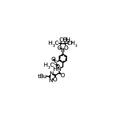 CC(C)(C)c1noc(C(=O)NCc2ccc(B3OC(C)(C)C(C)(C)O3)cc2S(C)(=O)=O)n1